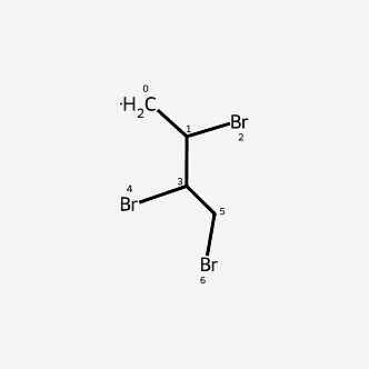 [CH2]C(Br)C(Br)CBr